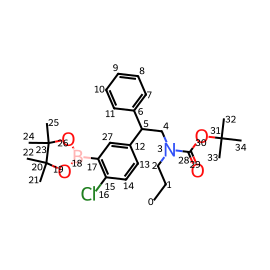 CCCN(CC(c1ccccc1)c1ccc(Cl)c(B2OC(C)(C)C(C)(C)O2)c1)C(=O)OC(C)(C)C